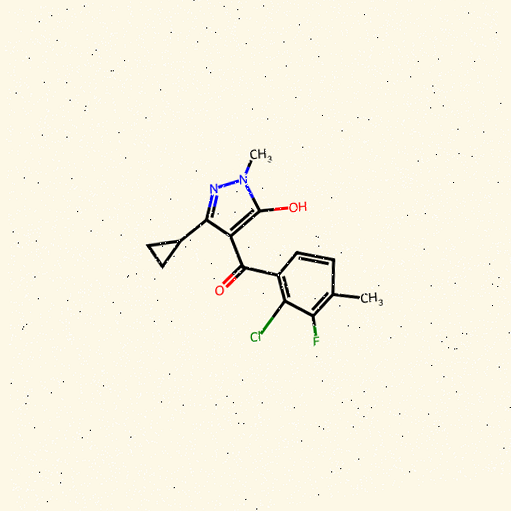 Cc1ccc(C(=O)c2c(C3CC3)nn(C)c2O)c(Cl)c1F